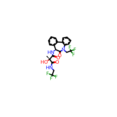 C[C@](O)(C(=O)NCC(F)(F)F)C(=O)N[C@@H]1C(=O)N(CC(F)(F)F)c2ccccc2-c2ccccc21